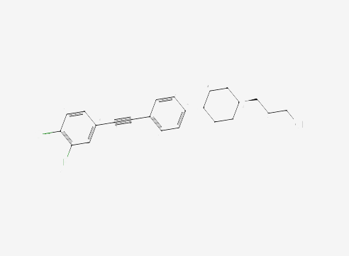 CCCC[C@H]1CC[C@H](c2ccc(C#Cc3ccc(Cl)c(F)c3)cc2)CC1